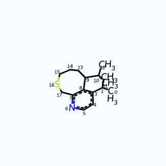 CC(C)c1ccnc2c1C(C(C)C)CCCSC2